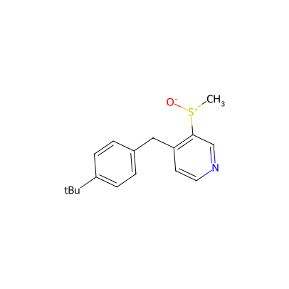 C[S+]([O-])c1cnccc1Cc1ccc(C(C)(C)C)cc1